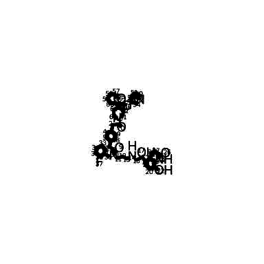 O=C(Cc1ccc(CC(=O)N(CCCNCC(O)c2ccc(O)c3[nH]c(=O)ccc23)Cc2ccccc2F)cc1)N1CCC(C(=O)OC2CN3CCC2CC3)(c2ccccc2)CC1